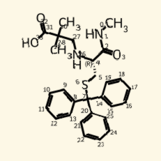 CNC(=O)[C@H](CSC(c1ccccc1)(c1ccccc1)c1ccccc1)NCC(C)(C)C(=O)O